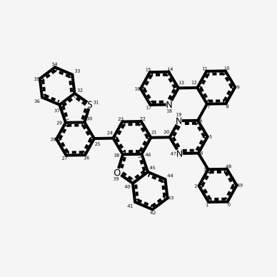 c1ccc(-c2cc(-c3ccccc3-c3ccccn3)nc(-c3ccc(-c4cccc5c4sc4ccccc45)c4oc5ccccc5c34)n2)cc1